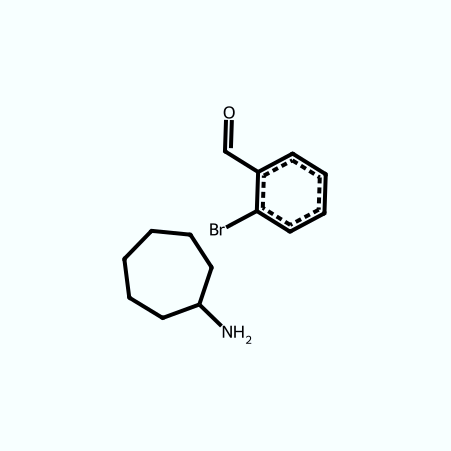 NC1CCCCCC1.O=Cc1ccccc1Br